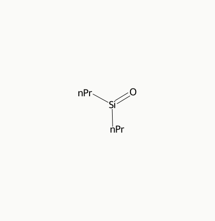 CCC[Si](=O)CCC